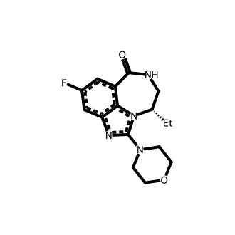 CC[C@H]1CNC(=O)c2cc(F)cc3nc(N4CCOCC4)n1c23